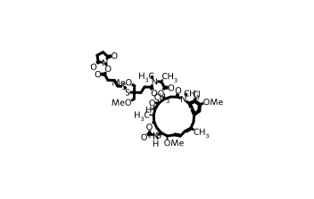 COCC(CCC(=O)N(C)[C@@H](C)C(=O)O[C@H]1CC(=O)N(C)c2cc(cc(OC)c2Cl)C/C(C)=C/C=C/[C@@H](OC)[C@@]2(O)CC(OC(=O)N2)[C@@H](C)[C@@H]2O[C@@]12C)(COC)SSCCCC(=O)ON1C(=O)CCC1=O